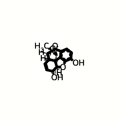 C[N+]1([O-])CC[C@]23c4c5ccc(O)c4O[C@H]2[C@@H](O)C=C[C@H]3[C@H]1C5=O